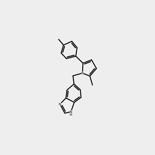 Cc1ccc(-c2ccc(C)n2Cc2ccc3[nH]cnc3c2)cc1